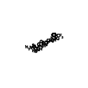 Nc1nc(C(=NO)C(=O)NC2C(=O)N3CC(C=CSc4cc(=O)c5c(C(F)(F)F)cccc5s4)(C(=O)O)CS[C@H]23)cs1